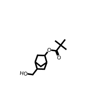 CC(C)(C)C(=O)OC1CC2CC1CC2CO